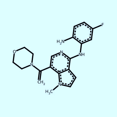 C=C(c1cnc(Nc2cc(F)ccc2N)c2ccn(C)c12)N1CCOCC1